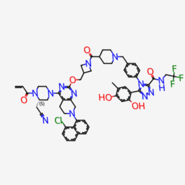 C=CC(=O)N1CCN(c2nc(OCC3CN(C(=O)C4CCN(Cc5ccc(-n6c(C(=O)NCC(F)(F)F)nnc6-c6cc(C)c(O)cc6O)cc5)CC4)C3)nc3c2CCN(c2cccc4cccc(Cl)c24)C3)C[C@@H]1CC#N